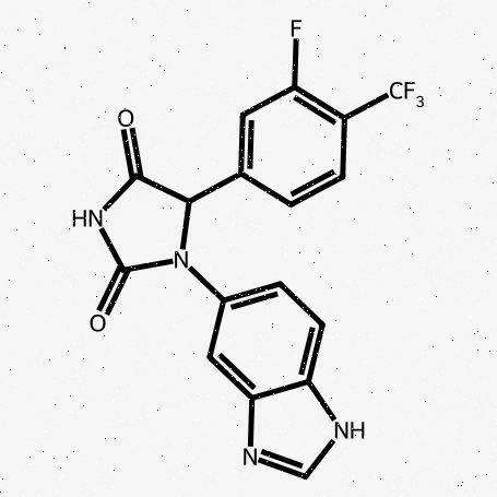 O=C1NC(=O)N(c2ccc3[nH]cnc3c2)C1c1ccc(C(F)(F)F)c(F)c1